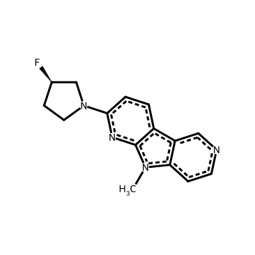 Cn1c2ccncc2c2ccc(N3CC[C@@H](F)C3)nc21